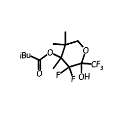 CCC(C)C(=O)OC1(C)C(C)(C)COC(O)(C(F)(F)F)C1(F)F